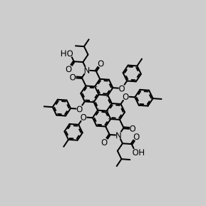 Cc1ccc(Oc2cc3c4c(cc(Oc5ccc(C)cc5)c5c6c(Oc7ccc(C)cc7)cc7c8c(cc(Oc9ccc(C)cc9)c(c2c45)c86)C(=O)N(C(CC(C)C)C(=O)O)C7=O)C(=O)N(C(CC(C)C)C(=O)O)C3=O)cc1